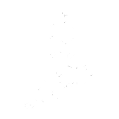 O=C(OC[C@H]1SCC[C@H]1OC(=O)c1ccc(Cl)cc1)c1ccc(Cl)cc1